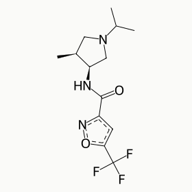 CC(C)N1C[C@H](C)[C@H](NC(=O)c2cc(C(F)(F)F)on2)C1